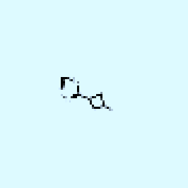 C[C]1CC(c2nncn2C)C1